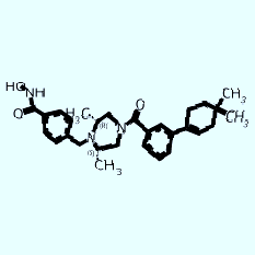 C[C@@H]1CN(C(=O)c2cccc(C3=CCC(C)(C)CC3)c2)C[C@H](C)N1Cc1ccc(C(=O)NO)cc1